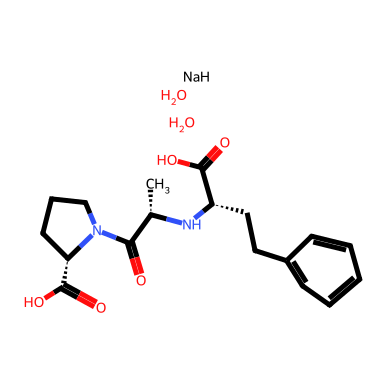 C[C@H](N[C@@H](CCc1ccccc1)C(=O)O)C(=O)N1CCC[C@H]1C(=O)O.O.O.[NaH]